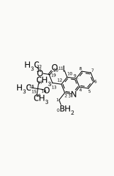 BCc1nc2ccccc2c(I)c1[C@H](OC(C)(C)C)C(=O)OC